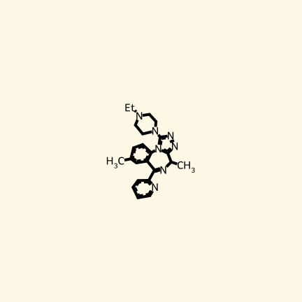 CCN1CCN(c2nnc3n2-c2ccc(C)cc2C(c2ccccn2)=NC3C)CC1